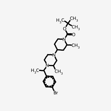 CC1CC(N2CCN(C(C)c3ccc(Br)cc3)C(C)C2)CCN1C(=O)OC(C)(C)C